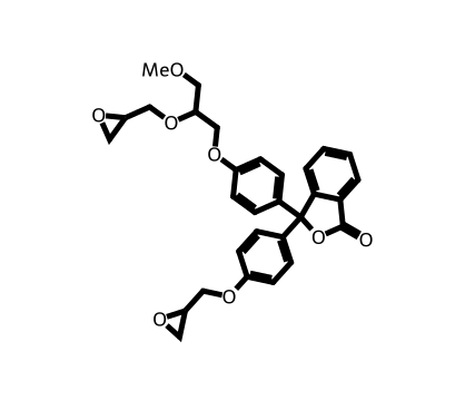 COCC(COc1ccc(C2(c3ccc(OCC4CO4)cc3)OC(=O)c3ccccc32)cc1)OCC1CO1